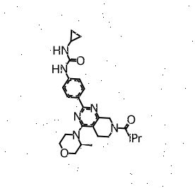 CC(C)C(=O)N1CCc2c(nc(-c3ccc(NC(=O)NC4CC4)cc3)nc2N2CCOC[C@@H]2C)C1